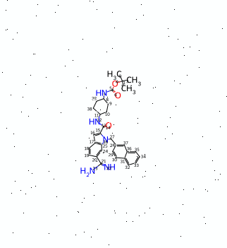 CC(C)(C)OC(=O)NC1CCC(NC(=O)c2cc3ccc(C(=N)N)cc3n2Cc2ccc3ccccc3c2)CC1